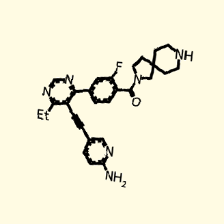 CCc1ncnc(-c2ccc(C(=O)N3CCC4(CCNCC4)C3)c(F)c2)c1C#Cc1ccc(N)nc1